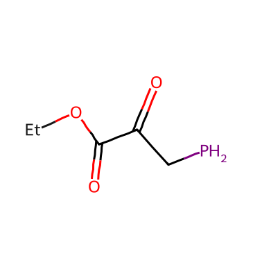 CCOC(=O)C(=O)CP